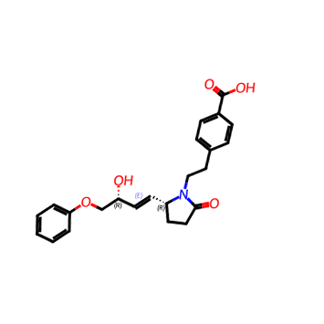 O=C(O)c1ccc(CCN2C(=O)CC[C@@H]2/C=C/[C@@H](O)COc2ccccc2)cc1